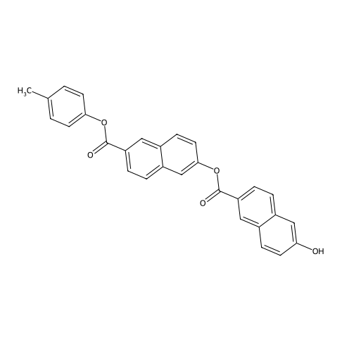 Cc1ccc(OC(=O)c2ccc3cc(OC(=O)c4ccc5cc(O)ccc5c4)ccc3c2)cc1